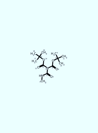 CNC(=O)N(C(=O)OC(C)(C)C)C(=O)OC(C)(C)C